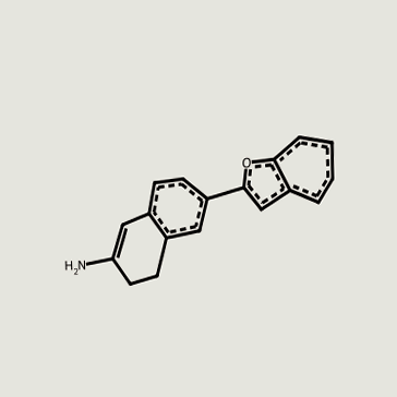 NC1=Cc2ccc(-c3cc4ccccc4o3)cc2CC1